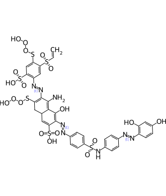 C=CS(=O)(=O)c1cc(/N=N/C2=C(SOOO)CC3C=C(S(=O)(=O)O)C(/N=N/c4ccc(S(=O)(=O)Nc5ccc(/N=N/c6ccc(O)cc6O)cc5)cc4)=C(O)C3=C2N)c(S(=O)(=O)O)cc1SOOO